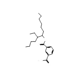 CCCCCCC(OC(=O)c1cccc(C(=O)O)c1)C(CC)CCCC